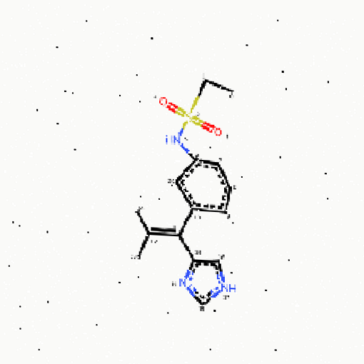 CCS(=O)(=O)Nc1cccc(C(=C(C)C)c2c[nH]cn2)c1